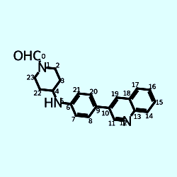 O=CN1CCC(Nc2ccc(-c3cnc4ccccc4c3)cc2)CC1